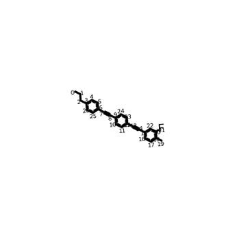 CCCc1ccc(C#Cc2ccc(C#Cc3ccc(C)c(F)c3)cc2)cc1